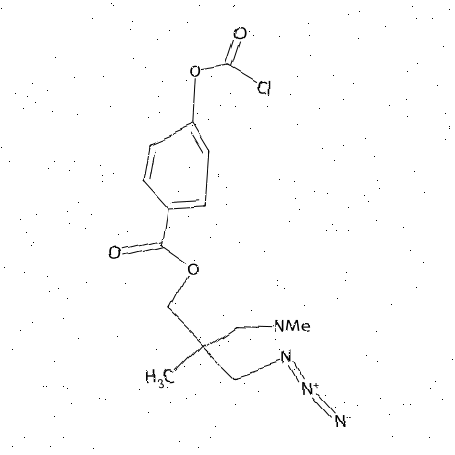 CNCC(C)(CN=[N+]=[N-])COC(=O)c1ccc(OC(=O)Cl)cc1